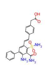 NC(=O)c1c(N)c(-c2ccccc2)cc(C=Cc2ccc(CC(=O)O)cc2)c1S(N)(=O)=O